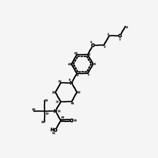 COCCOc1ccc(N2CCC(N(C(=O)O)C(C)(C)C)CC2)cc1